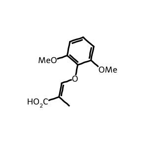 COc1cccc(OC)c1O/C=C(\C)C(=O)O